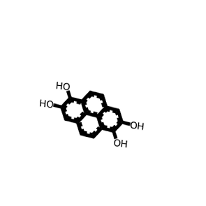 Oc1cc2ccc3c(O)c(O)cc4ccc(c1O)c2c43